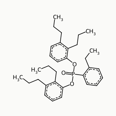 CCCc1cccc(OP(=O)(Oc2cccc(CCC)c2CCC)c2ccccc2CC)c1CCC